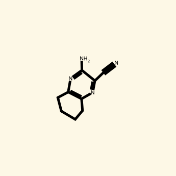 N#Cc1nc2c(nc1N)CCCC2